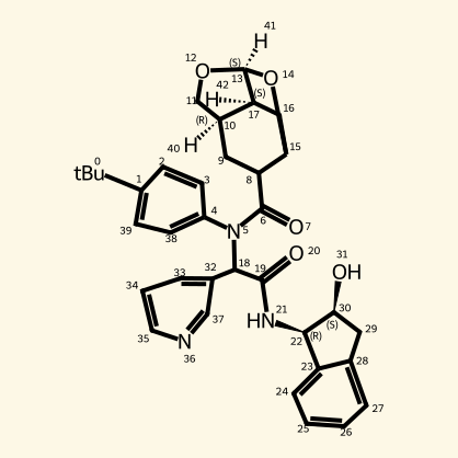 CC(C)(C)c1ccc(N(C(=O)C2C[C@H]3CO[C@H]4OC2C[C@@H]34)C(C(=O)N[C@@H]2c3ccccc3C[C@@H]2O)c2cccnc2)cc1